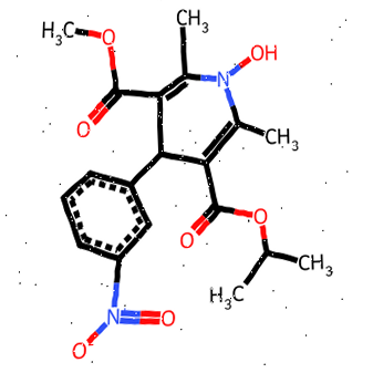 COC(=O)C1=C(C)N(O)C(C)=C(C(=O)OC(C)C)C1c1cccc([N+](=O)[O-])c1